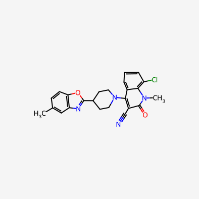 Cc1ccc2oc(C3CCN(c4c(C#N)c(=O)n(C)c5c(Cl)cccc45)CC3)nc2c1